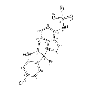 CCC(C(N)=O)(c1ccc(Cl)cc1)n1ccc2c(NS(=O)(=O)CC)cccc21